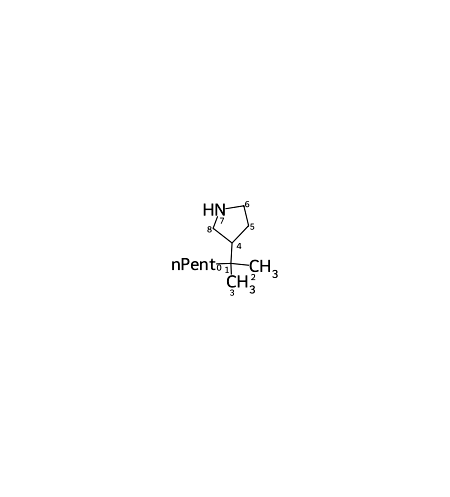 CCCCCC(C)(C)C1CCNC1